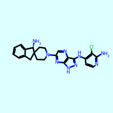 Nc1nccc(Nc2n[nH]c3nc(N4CCC5(CC4)Cc4ccccc4[C@H]5N)cnc23)c1Cl